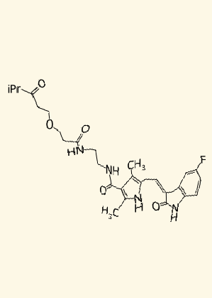 Cc1[nH]c(/C=C2\C(=O)Nc3ccc(F)cc32)c(C)c1C(=O)NCCNC(=O)CCOCCC(=O)C(C)C